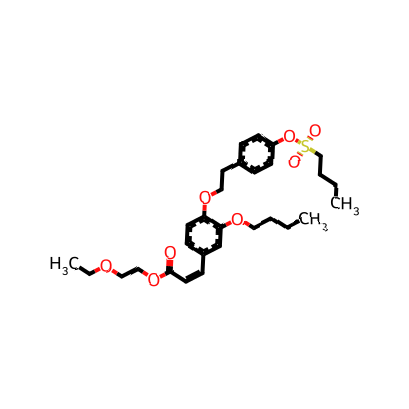 CCCCOc1cc(/C=C\C(=O)OCCOCC)ccc1OCCc1ccc(OS(=O)(=O)CCCC)cc1